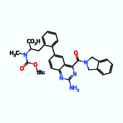 CN(C(=O)OC(C)(C)C)C(Cc1ccccc1-c1ccc2nc(N)nc(C(=O)N3Cc4ccccc4C3)c2c1)C(=O)O